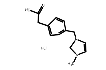 CN1C=CN(Cc2ccc(CC(=O)O)cc2)C1.Cl